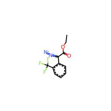 CCOC(=O)C(=[N+]=[N-])c1ccccc1C(F)(F)F